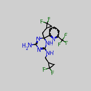 NC1=NC(CC2CC2(F)F)(c2cccc(C(F)(F)F)n2)NC(NCC2CC2(F)F)=N1